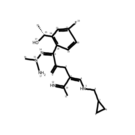 C=C(C/C(=C/NCC1CC1)C(C)=N)/C(=N\N(C)N)c1ccc(F)cc1[C@@H](C)O